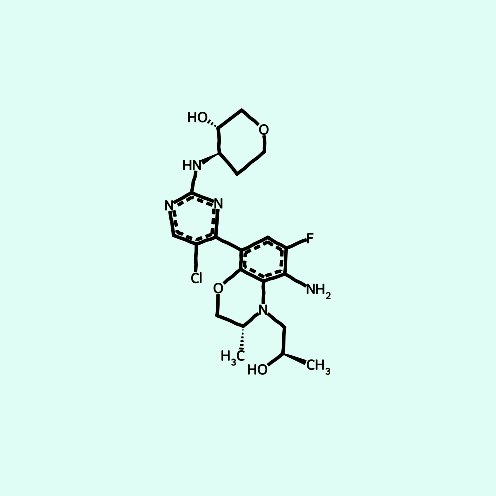 C[C@@H]1COc2c(-c3nc(N[C@@H]4CCOC[C@H]4O)ncc3Cl)cc(F)c(N)c2N1C[C@@H](C)O